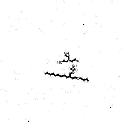 CCCCCCCCCC(CCCCCCC)COS(=O)(=O)O.OCCN(CCO)CCO